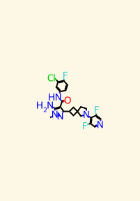 Cn1nc(C2CC3(CCN(c4c(F)cncc4F)C3)C2)c(C(=O)Nc2ccc(F)c(Cl)c2)c1N